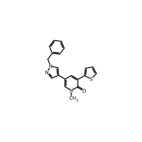 Cn1cc(-c2cnn(Cc3ccccc3)c2)cc(-c2cccs2)c1=O